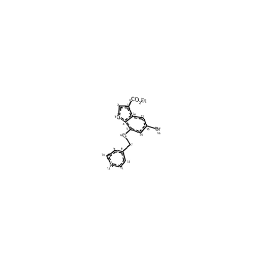 CCOC(=O)c1coc2c(OCc3ccncc3)cc(Br)cc12